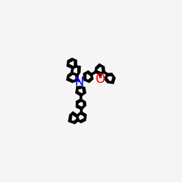 c1ccc2c(-c3ccc(-c4ccc(N(c5ccc(-c6cccc7c6oc6ccccc67)cc5)c5cccc6c5ccc5ccccc56)cc4)cc3)cccc2c1